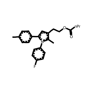 CCCC(=O)OCCc1cc(-c2ccc(C)cc2)n(-c2ccc(F)cc2)c1C